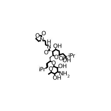 CC(C)/C=C/[C@@H](C[C@@H]1O[C@](O)(C[C@@H](O)C(C)C)C[C@H](O)[C@H]1C(=O)NCCN1CCOC1=O)OC1OC(C)C(O)C(N)C1O